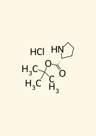 CC(C)(C)OC(=O)[C@H]1CCCN1.Cl